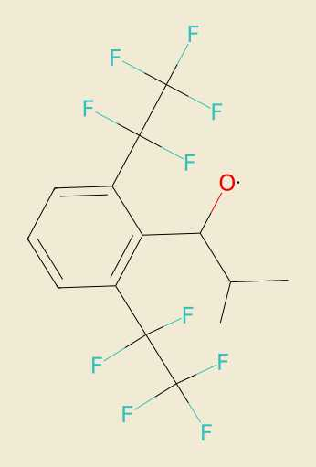 CC(C)C([O])c1c(C(F)(F)C(F)(F)F)cccc1C(F)(F)C(F)(F)F